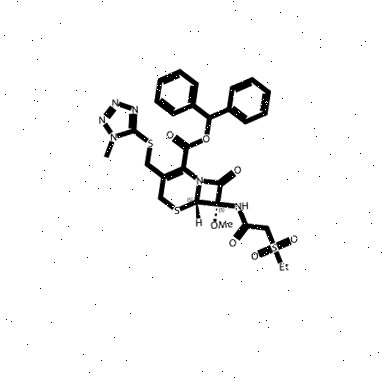 CCS(=O)(=O)CC(=O)N[C@]1(OC)C(=O)N2C(C(=O)OC(c3ccccc3)c3ccccc3)=C(CSc3nnnn3C)CS[C@H]21